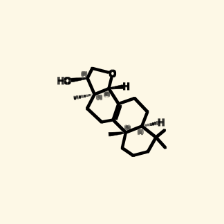 CC1(C)CCC[C@]2(C)C3=C(CC[C@@H]12)[C@H]1OC[C@H](O)[C@]1(C)CC3